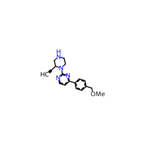 C#CC1CNCCN1c1nccc(-c2ccc(COC)cc2)n1